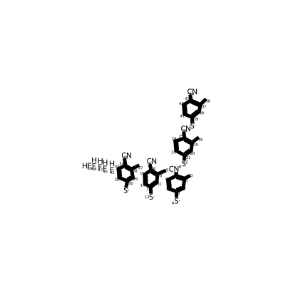 Cc1cc([S])ccc1C#N.Cc1cc([S])ccc1C#N.Cc1cc([S])ccc1C#N.Cc1cc([S])ccc1C#N.Cc1cc([S])ccc1C#N.F.F.F.F.F